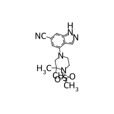 CC1(C)CN(c2cc(C#N)cc3[nH]ncc23)CCN1S(C)(=O)=O